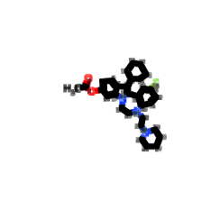 CC(=O)Oc1ccc2c(C3CCCCC3)c3n(c2c1)CCN(CCN1CCCCC1)c1ccc(F)cc1-3